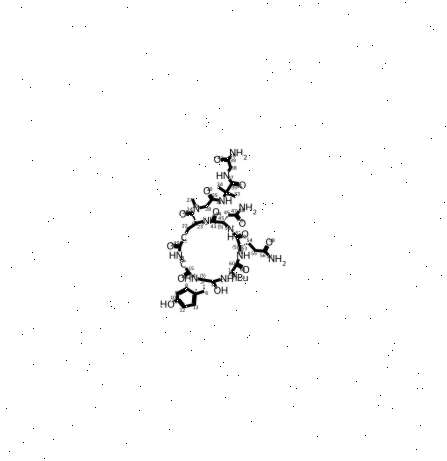 CC[C@H](C)[C@@H]1NC(O)[C@H](Cc2ccc(O)cc2)NC(=O)CNC(=O)CC[C@@H](C(=O)N(C)CC(=O)NC(C)(C)C(=O)NCC(N)=O)NC(=O)[C@H](CC(N)=O)NC(=O)[C@H](CCC(N)=O)NC1=O